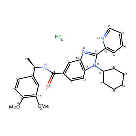 COc1ccc([C@@H](C)NC(=O)c2ccc3c(c2)nc(-c2ccccn2)n3C2CCCCC2)cc1OC.Cl